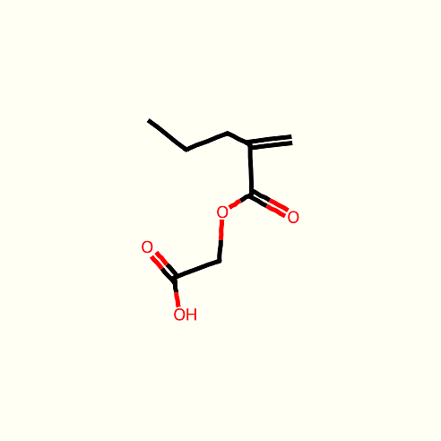 C=C(CCC)C(=O)OCC(=O)O